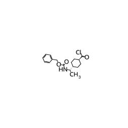 CC(NC(=O)OCc1ccccc1)[C@H]1CC[C@H](C(=O)Cl)CC1